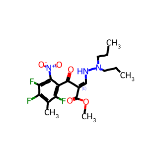 CCCN(CCC)N/C=C(/C(=O)OC)C(=O)c1c(F)c(C)c(F)c(F)c1[N+](=O)[O-]